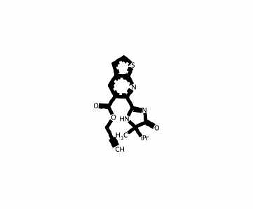 C#CCOC(=O)c1cc2ccsc2nc1C1=NC(=O)C(C)(C(C)C)N1